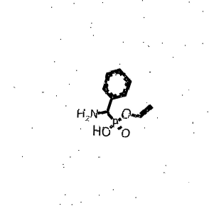 C=COP(=O)(O)C(N)c1ccccc1